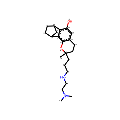 CN(C)CCNCCCC1(C)CCc2cc(O)c3c(c2O1)C1CCC3C1